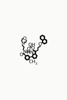 Cc1ccc(C(=O)NCCCN2CCOCC2)cc1-c1cccc2c(CCCOc3cccc4ccccc34)c(OC(=O)O)[nH]c12